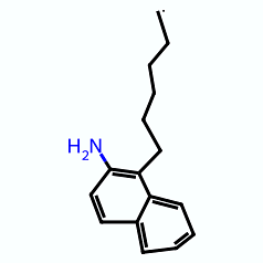 [CH2]CCCCCc1c(N)ccc2ccccc12